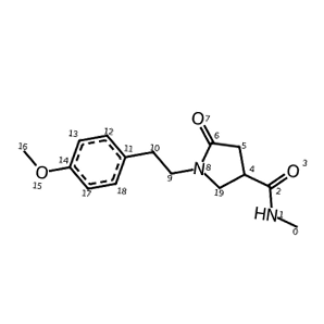 CNC(=O)C1CC(=O)N(CCc2ccc(OC)cc2)C1